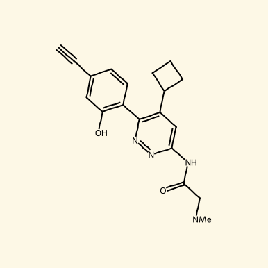 C#Cc1ccc(-c2nnc(NC(=O)CNC)cc2C2CCC2)c(O)c1